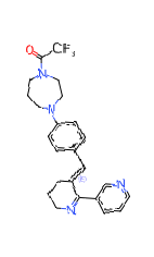 O=C(N1CCCN(c2ccc(/C=C3\CCCN=C3c3cccnc3)cc2)CC1)C(F)(F)F